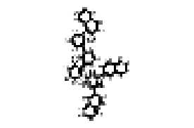 c1ccc2cc(C3=NC(c4cccc5oc6c(-c7cccc8c7oc7ccc9ccccc9c78)cccc6c45)NC(c4ccc5ccccc5c4)=N3)ccc2c1